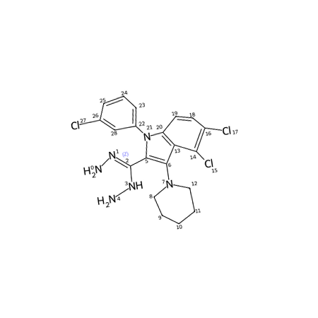 N/N=C(\NN)c1c(N2CCCCC2)c2c(Cl)c(Cl)ccc2n1-c1cccc(Cl)c1